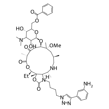 CC[C@H]1OC(=O)[C@H](C)C(=O)[C@H](C)[C@@H](O[C@@H]2OC(COC(=O)c3ccccc3)[C@@H](O)C(N(C)C)C2O)[C@](C)(OC)C[C@@H](C)CN[C@H](C)[C@H]2N(CCCCn3cc(-c4cccc(N)c4)nn3)C(=O)O[C@]12C